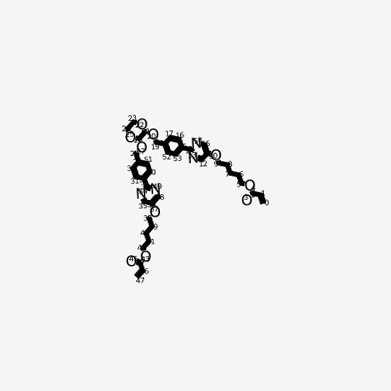 C=CC(=O)OCCCCCOc1cnc(-c2ccc(CO[C@@H]3OCCO[C@H]3OCc3ccc(-c4ncc(OCCCCCOC(=O)C=C)cn4)cc3)cc2)nc1